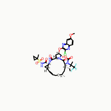 CC[C@@H]1C[C@H](C)CCC=C[C@@H]2C[C@@]2(C(=O)NS(=O)(=O)C2(C)CC2)NC(=O)[C@@H]2C[C@@H](Oc3nc4cc(OC)ccc4nc3Cl)CN2C(=O)[C@H]1N(C(=O)O)C(C)(C)C(F)(F)F